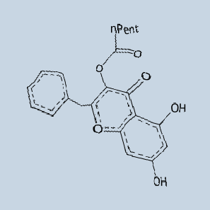 CCCCCC(=O)Oc1c(-c2ccccc2)oc2cc(O)cc(O)c2c1=O